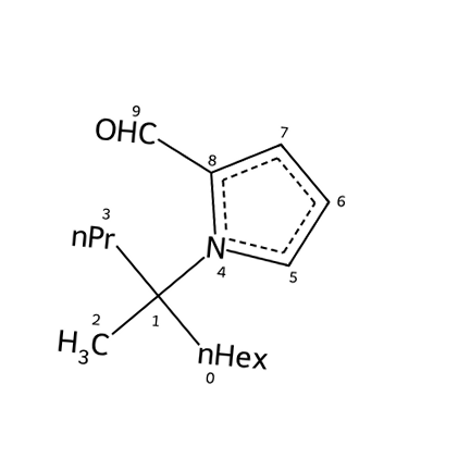 CCCCCCC(C)(CCC)n1cccc1C=O